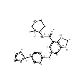 CC1(C)COCCC1NC(=O)c1cc(Cc2ccc(-n3cccn3)cc2)cc2c1OCO2